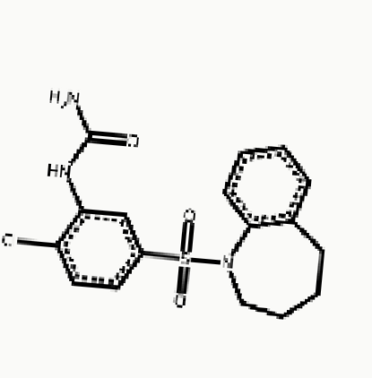 NC(=O)Nc1cc(S(=O)(=O)N2CCCCc3ccccc32)ccc1Cl